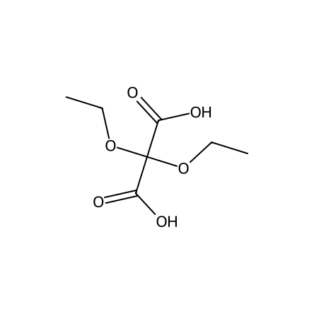 CCOC(OCC)(C(=O)O)C(=O)O